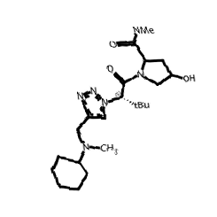 CNC(=O)C1CC(O)CN1C(=O)[C@@H](n1cc(CN(C)C2CCCCC2)nn1)C(C)(C)C